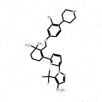 CCOC(=O)c1cnn(-c2cccc(C3=C(COc4ccc(C5CCNCC5)c(CC)c4)C(C)(C)CCC3)n2)c1C(F)(F)I